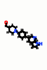 O=CC1CCN(c2ccc(-c3cnc4[nH]ccc4c3)cc2)CC1